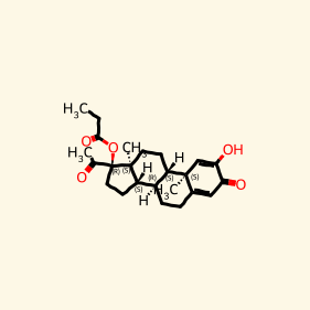 CCC(=O)O[C@]1(C(C)=O)CC[C@H]2[C@@H]3CCC4=CC(=O)C(O)=C[C@]4(C)[C@H]3CC[C@@]21C